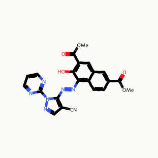 COC(=O)c1ccc2c(/N=N/c3c(C#N)cnn3-c3ncccn3)c(O)c(C(=O)OC)cc2c1